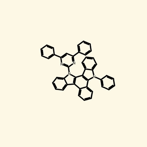 c1ccc(-c2cc(-c3ccccc3)nc(-n3c4ccccc4c4c5ccccc5c5c(c6ccccc6n5-c5ccccc5)c43)n2)cc1